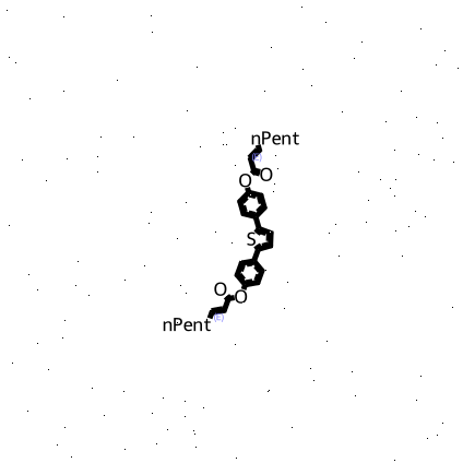 CCCCC/C=C/C(=O)Oc1ccc(-c2ccc(-c3ccc(OC(=O)/C=C/CCCCC)cc3)s2)cc1